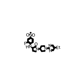 CCc1cnc(N2CCC(N3CCC(Nc4ccc(S(C)(=O)=O)cc4F)C3=O)CC2)nc1